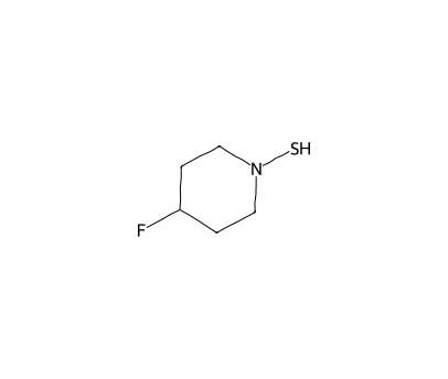 FC1CCN(S)CC1